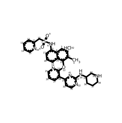 Cc1ccc2c(NS(=O)(=O)Cc3ccccn3)cccc2c1Oc1ncccc1-c1ccnc(NC2CCCNC2)n1.Cl